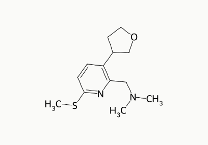 CSc1ccc(C2CCOC2)c(CN(C)C)n1